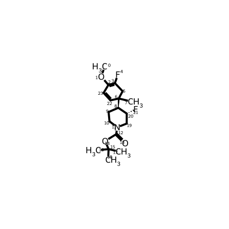 COC1=C(F)CC(C)([C@@H]2CCN(C(=O)OC(C)(C)C)C[C@H]2F)C=C1